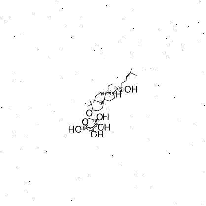 CC(C)=CCC[C@](C)(O)[C@H]1CC[C@@]2(C)[C@H]1CCC1[C@@]3(C)CCC(OC4O[C@H](CO)[C@@H](O)[C@H](O)[C@H]4O)C(C)(C)C3CC[C@]12C